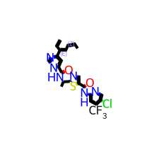 C=C/C(=C\C=C/C)c1cc(C(=O)NC(C)c2ncc(C(=O)Nc3cc(C(F)(F)F)c(Cl)cn3)s2)ncn1